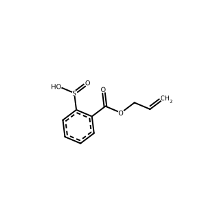 C=CCOC(=O)c1ccccc1S(=O)O